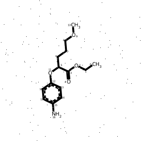 CCOC(=O)C(CCCOC)Oc1ccc(N)cc1